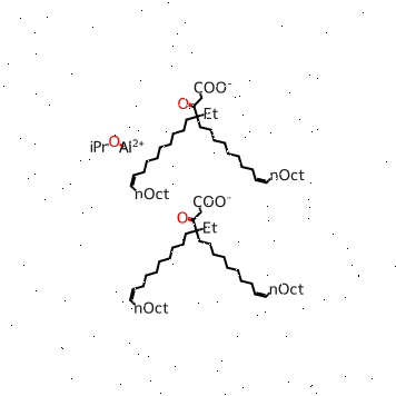 CC(C)[O][Al+2].CCCCCCCC/C=C\CCCCCCCCC(CC)(CCCCCCCC/C=C\CCCCCCCC)C(=O)CC(=O)[O-].CCCCCCCC/C=C\CCCCCCCCC(CC)(CCCCCCCC/C=C\CCCCCCCC)C(=O)CC(=O)[O-]